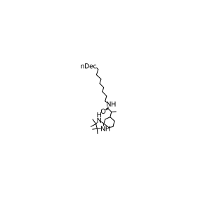 CCCCCCCCCCCCCCCCCCNC(=O)C(C)C1CCCC2(C1)NC(C)(C)C(C)(C)N2